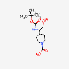 CC(C)(C)OC(=O)NC(CO)C1CCN(C(=O)O)CC1